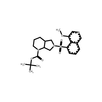 COc1cncc2cccc(S(=O)(=O)N3CC4CCCN(C(=O)OC(C)(C)C)C4C3)c12